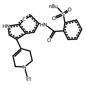 CCCCS(=O)(=O)c1ccccc1C(=O)Nc1ccc2[nH]cc(C3=CCN(CC)CC3)c2c1